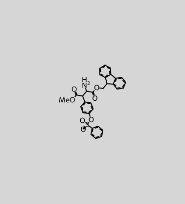 COC(=O)C(c1ccc(OS(=O)(=O)c2ccccc2)cc1)C(N)C(=O)OCC1c2ccccc2-c2ccccc21